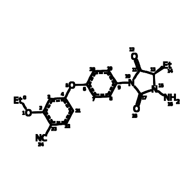 CCOc1cc(Oc2ccc(N3C(=O)[C@@H](CC)N(N)C3=O)cc2)ccc1C#N